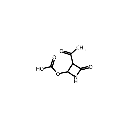 CC(=O)C1C(=O)NC1OC(=O)O